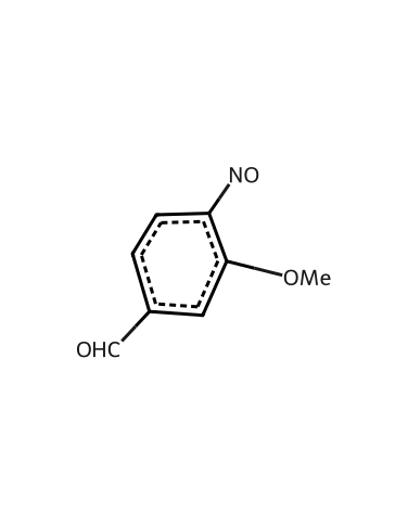 COc1cc(C=O)ccc1N=O